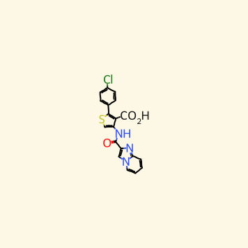 O=C(Nc1csc(-c2ccc(Cl)cc2)c1C(=O)O)c1cn2ccccc2n1